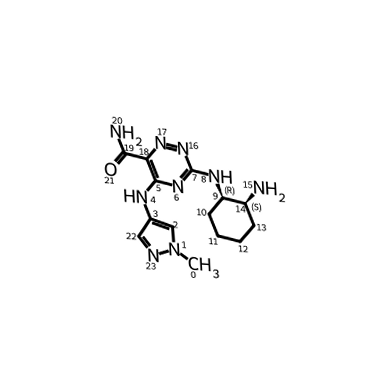 Cn1cc(Nc2nc(N[C@@H]3CCCC[C@@H]3N)nnc2C(N)=O)cn1